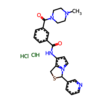 CN1CCN(C(=O)c2cccc(C(=O)Nc3ccn4c3CSC4c3cccnc3)c2)CC1.Cl.Cl